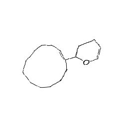 C1=COC(C2=CCCCCCCCCCC2)CC1